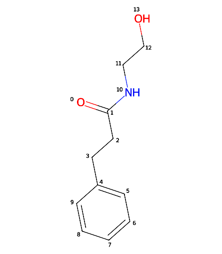 O=C(CCc1ccccc1)NCCO